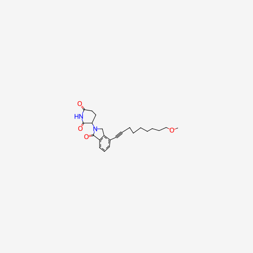 COCCCCCCCC#Cc1cccc2c1CN(C1CCC(=O)NC1=O)C2=O